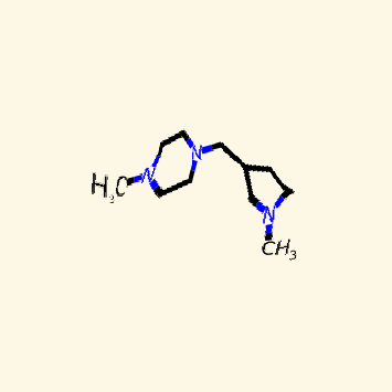 CN1CCN(CC2CCN(C)C2)CC1